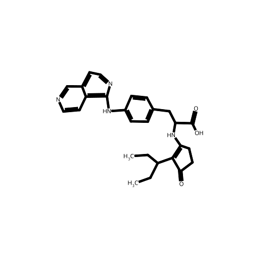 CCC(CC)C1=C(NC(Cc2ccc(Nc3nccc4cnccc34)cc2)C(=O)O)CCC1=O